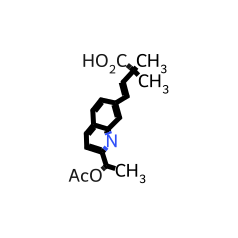 CC(=O)OC(C)c1ccc2ccc(/C=C/C(C)(C)C(=O)O)cc2n1